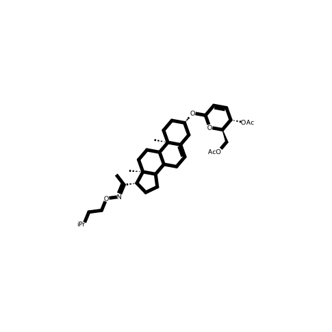 CC(=O)OC[C@H]1OC(O[C@H]2CC[C@@]3(C)C(=CCC4C3CC[C@@]3(C)C4CC[C@@H]3/C(C)=N/OCCC(C)C)C2)C=C[C@@H]1OC(C)=O